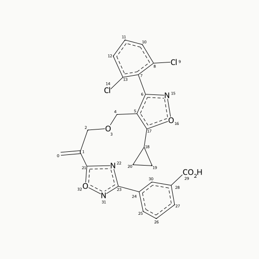 C=C(COCc1c(-c2c(Cl)cccc2Cl)noc1C1CC1)c1nc(-c2cccc(C(=O)O)c2)no1